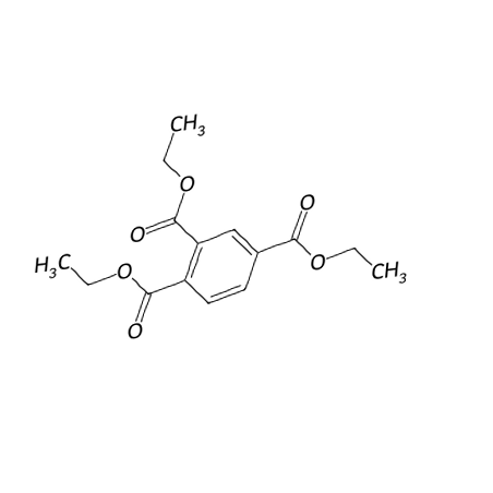 CCOC(=O)c1ccc(C(=O)OCC)c(C(=O)OCC)c1